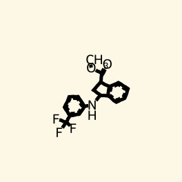 COC(=O)C1CC(Nc2cccc(C(F)(F)F)c2)c2ccccc21